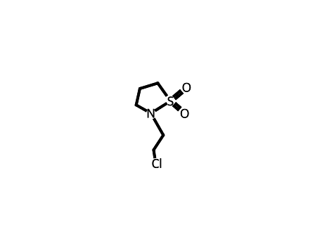 O=S1(=O)CCCN1CCCl